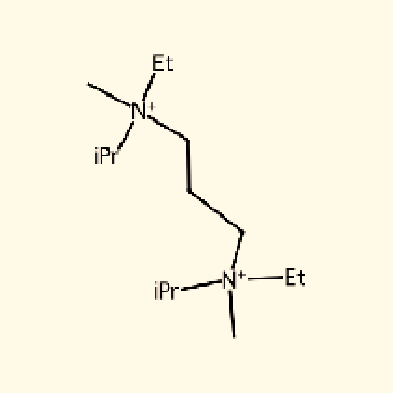 CC[N+](C)(CCC[N+](C)(CC)C(C)C)C(C)C